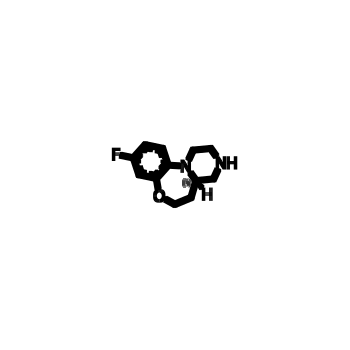 Fc1ccc2c(c1)OCC[C@H]1CNCCN21